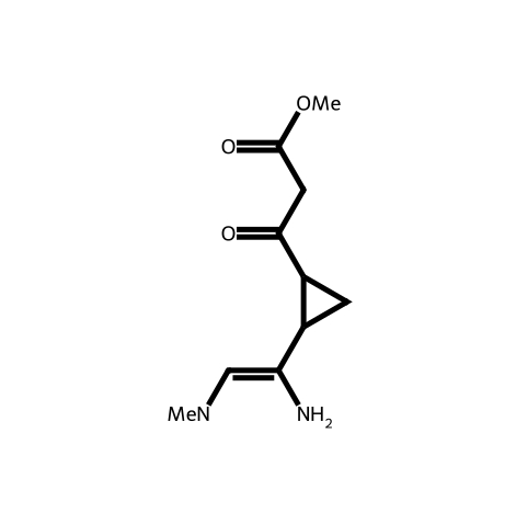 CN/C=C(\N)C1CC1C(=O)CC(=O)OC